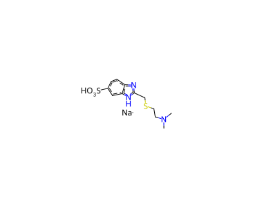 CN(C)CCSCc1nc2ccc(S(=O)(=O)O)cc2[nH]1.[Na]